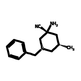 C[C@@H]1CN(Cc2ccccc2)C[C@@](N)(C#N)C1